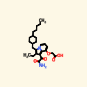 CCCCCC1CCC(Cc2c(CC)c(C(=O)C(N)=O)c3c(OCC(=O)O)cccn23)CC1